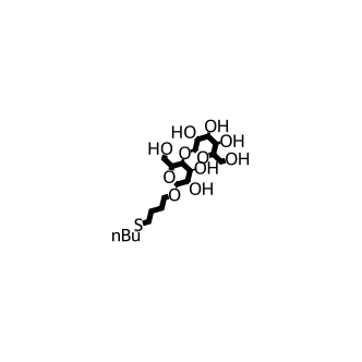 CCCCSCCCCO[C@@H]1OC(CO)[C@@H](O[C@@H]2OC(CO)[C@H](O)[C@H](O)C2O)[C@H](O)C1O